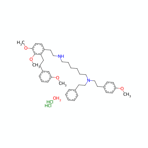 COc1ccc(CCN(CCCCCCNCCc2ccc(OC)c(OC)c2CCc2cccc(OC)c2)CCc2ccccc2)cc1.Cl.Cl.O